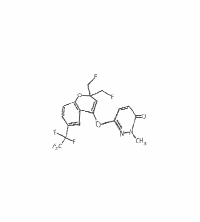 Cn1nc(OC2=CC(CF)(CF)Oc3ccc(C(F)(F)C(F)(F)F)cc32)ccc1=O